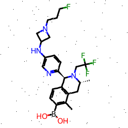 Cc1c(B(O)O)ccc2c1C[C@@H](C)N(CC(F)(F)F)[C@@H]2c1ccc(NC2CN(CCCF)C2)cn1